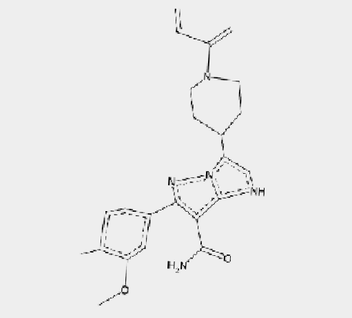 C=CC(=C)N1CCC(c2c[nH]c3c(C(N)=O)c(-c4ccc(C)c(OC)c4)nn23)CC1